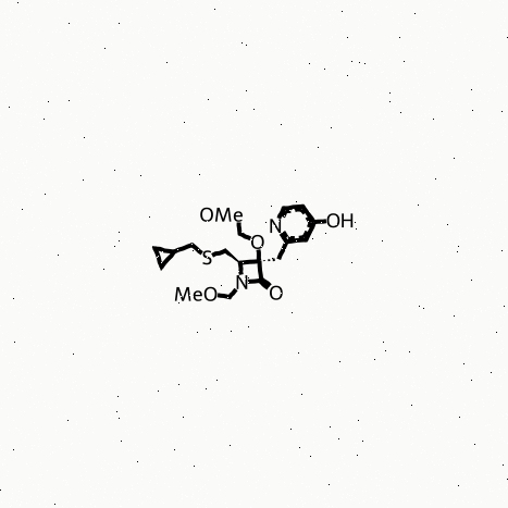 COCO[C@@]1(Cc2cc(O)ccn2)C(=O)N(COC)[C@H]1CSCC1CC1